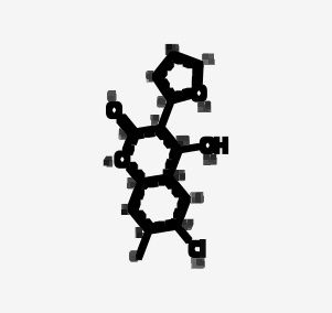 Cc1cc2oc(=O)c(-c3ccco3)c(O)c2cc1Cl